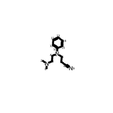 CN(C)CCN(CCC#N)c1cc[c]cc1